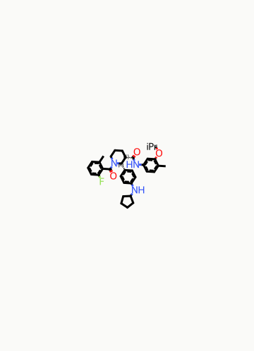 Cc1ccc(NC(=O)[C@H]2CCCN(C(=O)c3c(C)cccc3F)[C@H]2c2ccc(NC3CCCC3)cc2)cc1OC(C)C